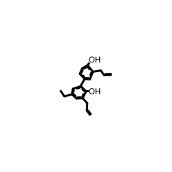 C=CCc1cc(-c2cc(CC)cc(CC=C)c2O)ccc1O